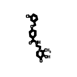 Cc1c(O)c(=O)ccn1CCNC(=O)c1ccc(OCc2cccc(Cl)c2)cc1